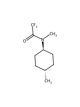 CN(C(=O)C(F)(F)F)[C@H]1CC[C@H](C)CC1